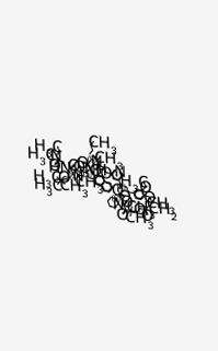 C=CC(=O)OCC(C)(C)C(=O)C(=O)N1CCCC[C@H]1C(=O)O[C@H](CCc1ccc(OC)c(OC)c1)c1cncc(OCC(=O)N(C)[C@@H](CCCC)C(=O)N[C@@H](Cc2ccc3ccccc3c2)C(=O)N(C)[C@@H](COC(C)(C)C)C(=O)NCC(=O)N(C)CC)c1